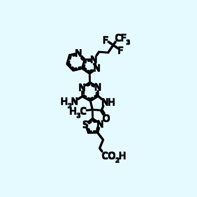 CC1(c2nc(CCC(=O)O)cs2)C(=O)Nc2nc(-c3nn(CCC(F)(F)C(F)(F)F)c4ncccc34)nc(N)c21